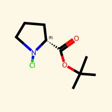 CC(C)(C)OC(=O)[C@H]1CCCN1Cl